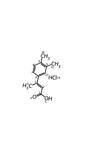 CC(=CC(=O)O)c1ccc(C)c(C)c1.Cl